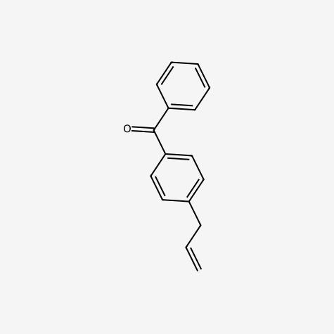 C=CCc1ccc(C(=O)c2ccccc2)cc1